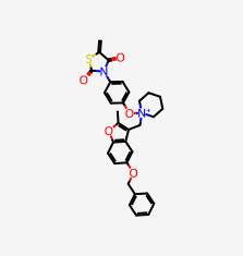 C=C1SC(=O)N(c2ccc(O[N+]3(Cc4c(C)oc5ccc(OCc6ccccc6)cc45)CCCCC3)cc2)C1=O